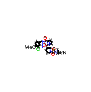 COc1ccc(CNC(=O)[C@H]2CCCN2C(=O)[C@H]2CCCN(S(=O)(=O)N3CC(C#N)C3)C2)cc1Cl